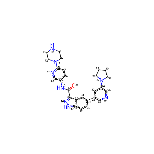 O=C(Nc1ccc(N2CCNCC2)nc1)c1n[nH]c2ccc(-c3cncc(N4CCCC4)c3)cc12